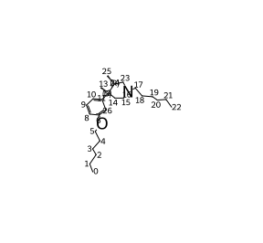 CCCCCCOc1cccc([C@@]2(C)CCN(CCCCCC)C[C@@H]2C)c1